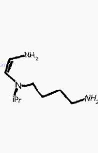 CC(C)N(/C=C\N)CCCCN